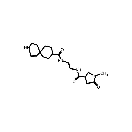 CN1CC(C(=O)NCCNC(=O)C2CCC3(CCNCC3)CC2)CC1=O